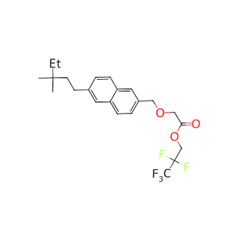 CCC(C)(C)CCc1ccc2cc(COCC(=O)OCC(F)(F)C(F)(F)F)ccc2c1